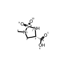 CN1C[C@@H](C(=O)O)NS1(=O)=O